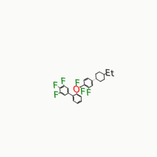 CC[C@H]1CC[C@H](c2ccc(C(F)(F)Oc3ccccc3-c3cc(F)c(F)c(F)c3)c(F)c2)CC1